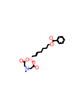 CN1CC(=O)OB(CC=CCCCCOC(=O)c2ccccc2)OC(=O)C1